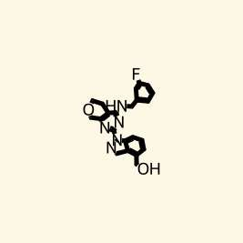 OCc1cccc2c1cnn2-c1nc2c(c(NCc3cccc(F)c3)n1)CCOC2